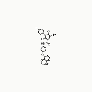 CC(C)n1cc(C(=O)Nc2ccc(Oc3ccnc4c3OCCN4)cc2)c(=O)n(-c2ccc(F)cc2)c1=O